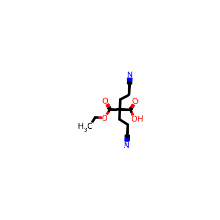 CCOC(=O)C(CCC#N)(CCC#N)C(=O)O